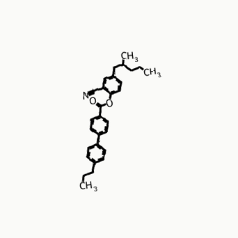 CCCc1ccc(-c2ccc(C(=O)Oc3ccc(CC(C)CCC)cc3C#N)cc2)cc1